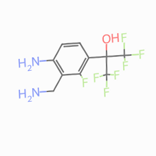 NCc1c(N)ccc(C(O)(C(F)(F)F)C(F)(F)F)c1F